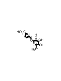 O=C(O)c1ccc(COC2O[C@H](CO)[C@@H](O)[C@H](O)[C@H]2O)o1